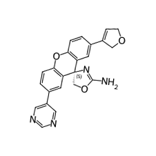 NC1=N[C@]2(CO1)c1cc(C3=CCOC3)ccc1Oc1ccc(-c3cncnc3)cc12